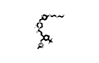 Cc1nnn(Cc2cc(C(F)(F)F)ccc2/C=C/C(=O)N2CCN(Cc3ccc(OCCOCCF)cn3)C[C@H]2C)n1